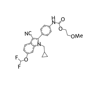 COCCOC(=O)Nc1ccc(-c2c(C#N)c3ccc(OC(F)F)cc3n2CC2CC2)cc1